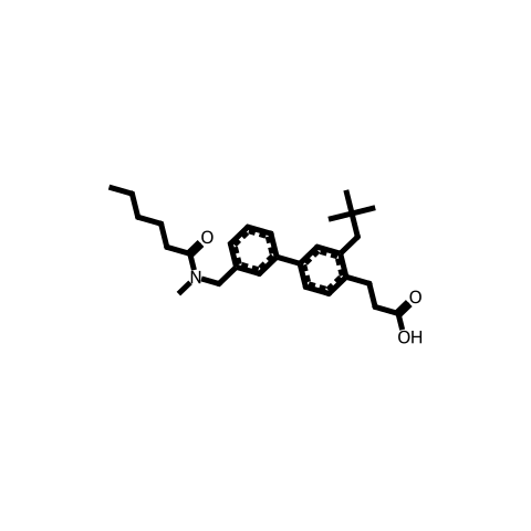 CCCCCC(=O)N(C)Cc1cccc(-c2ccc(CCC(=O)O)c(CC(C)(C)C)c2)c1